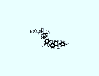 CCOC(=O)NC(=O)C(C#N)=NNc1cc(Cl)c(Oc2ccc3c(c2)CCN(c2ccc(C)cc2)C3=O)c(Cl)c1